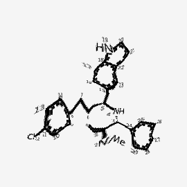 C=C(NC)[C@H](N[C@@H](CCc1ccc(Cl)cc1)c1ccc2[nH]ccc2c1)c1ccccc1